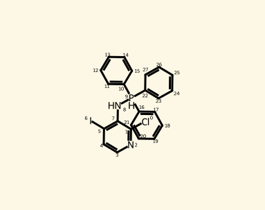 Clc1nccc(I)c1N[PH](c1ccccc1)(c1ccccc1)c1ccccc1